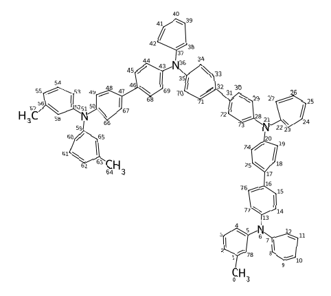 Cc1cccc(N(c2ccccc2)c2ccc(-c3ccc(N(c4ccccc4)c4ccc(-c5ccc(N(c6ccccc6)c6ccc(-c7ccc(N(c8cccc(C)c8)c8cccc(C)c8)cc7)cc6)cc5)cc4)cc3)cc2)c1